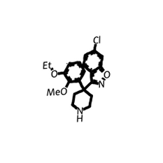 CCOc1[c]ccc(C2(c3noc4cc(Cl)ccc34)CCNCC2)c1OC